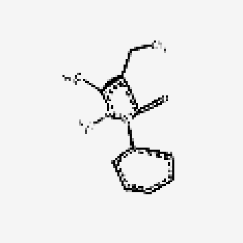 CCc1c(C)n(C)n(-c2ccccc2)c1=O